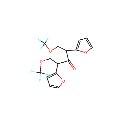 O=C(C(COC(F)(F)F)c1ccco1)C(COC(F)(F)F)c1ccco1